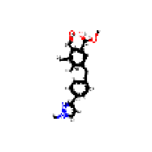 COC(=O)c1cc(Cc2ccc(-c3ccn(C)n3)cc2)c(C)c(C)c1C=O